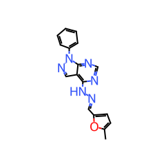 Cc1ccc(C=NNc2ncnc3c2cnn3-c2ccccc2)o1